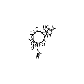 CC[C@H]1OC(=O)[C@H](C)C(=O)[C@H](C)[C@@H](O[C@@H]2O[C@H](C)C[C@H](N(C)C)[C@H]2O)[C@@](C)(OC)C[C@@H](C)C(=O)[C@H](C)[C@H]2N(CCN=[N+]=[N-])C(=O)O[C@]12C